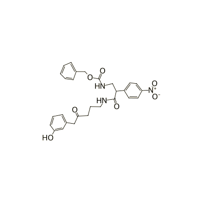 O=C(CCCNC(=O)C(CNC(=O)OCc1ccccc1)c1ccc([N+](=O)[O-])cc1)Cc1cccc(O)c1